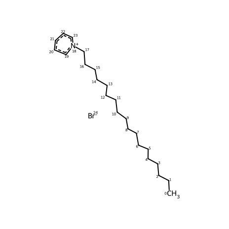 CCCCCCCCCCCCCCCCCC[n+]1ccccc1.[Br-]